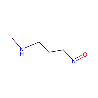 O=NCCCNI